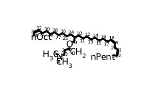 C=C(CCN(C)C)OCC(CCCCCCCC/C=C\C/C=C\CCCCC)CCCCCCCC/C=C\CCCCCCCC